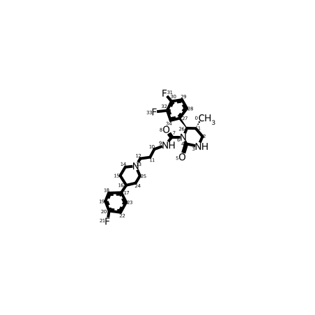 C[C@@H]1CNC(=O)N(C(=O)NCCCN2CCC(c3ccc(F)cc3)CC2)[C@H]1c1ccc(F)c(F)c1